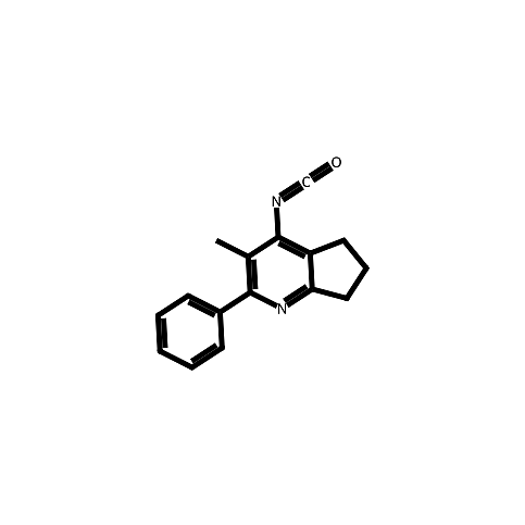 Cc1c(-c2ccccc2)nc2c(c1N=C=O)CCC2